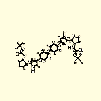 CC(C)(C)OC(=O)C[C@H]1CCC[C@H]1c1nc(-c2ccc(-c3ccc(-c4c[nH]c([C@@H]5CCC[C@@H]5NC(=O)OC(C)(C)C)n4)cc3)cc2)c[nH]1